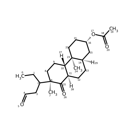 CCC(CC=O)[C@@]1(C)CC[C@H]2[C@@H](CC[C@@H]3C[C@@H](OC(C)=O)CC[C@@]32C)C1=O